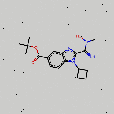 CN(O)C(=N)c1nc2cc(C(=O)OC(C)(C)C)ccc2n1C1CCC1